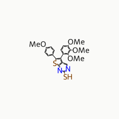 COc1ccc(-c2sc3nc(S)ncc3c2-c2ccc(OC)c(OC)c2OC)cc1